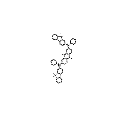 Cc1c2ccc(N(c3ccccc3)c3ccc4c(c3)C(C)(C)c3ccccc3-4)cc2c(C)c2cc(N(c3ccccc3)c3ccc4c(c3)C(C)(C)c3ccccc3-4)ccc12